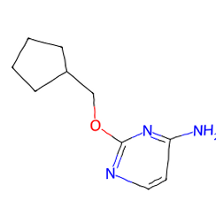 Nc1ccnc(OCC2CCCC2)n1